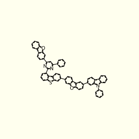 c1ccc(-c2cc(-c3ccc4c(c3)oc3ccccc34)nc(-c3cccc4sc5cc(-c6ccc7c(c6)oc6ccc(-c8ccc9c%10ccccc%10n(-c%10ccccc%10)c9c8)cc67)ccc5c34)n2)cc1